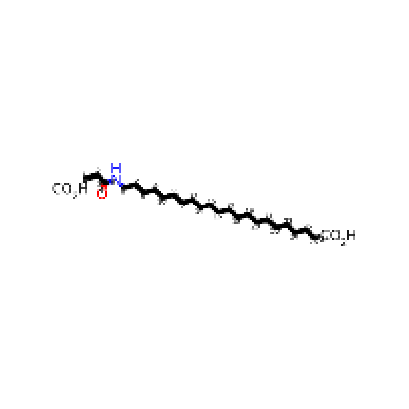 O=C(O)/C=C\C(=O)NCCCCCCCCCCCCCCCCCCCCCC(=O)O